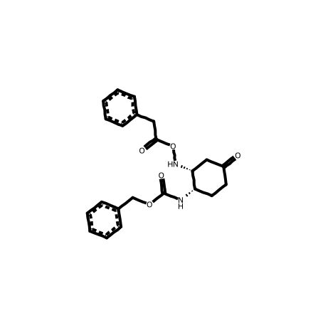 O=C1CC[C@H](NC(=O)OCc2ccccc2)[C@H](NOC(=O)Cc2ccccc2)C1